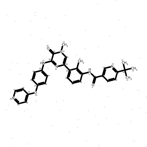 Cc1c(NC(=O)c2ccc(C(C)(C)C)nc2)cccc1-c1cn(C)c(=O)c(Nc2ccc(Oc3ccncc3)cc2)n1